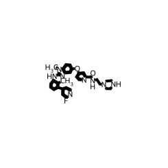 Cc1c(Nc2nc3cc(Oc4ccnc(C(=O)NCCN5CCNCC5)c4)ccc3n2C)cccc1-c1ccnc(F)c1